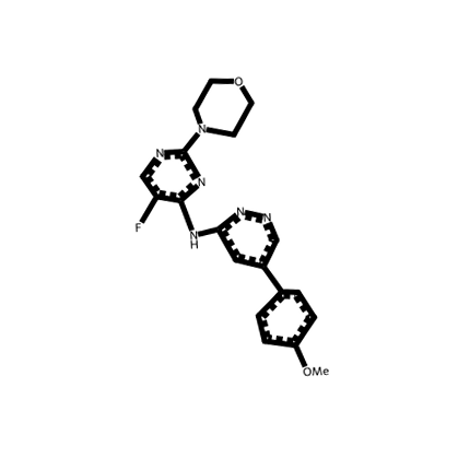 COc1ccc(-c2cnnc(Nc3nc(N4CCOCC4)ncc3F)c2)cc1